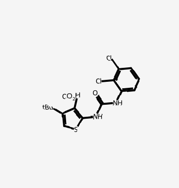 CC(C)(C)c1csc(NC(=O)Nc2cccc(Cl)c2Cl)c1C(=O)O